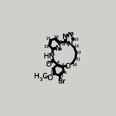 COc1cc2c(cc1Br)OCCCCn1cnnc1-c1cccc(n1)NC2=O